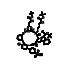 CN1C(=O)[C@H](CCCCNC(=O)OC(C)(C)C)NC(=O)[C@H](CCCNC(=O)OC(C)(C)C)NCc2ccccc2SC2=C(CNC(=O)[C@@H]1Cc1cn(C(=O)OC(C)(C)C)c3ccccc13)C(c1ccc(S(=O)(=O)O)cc1)=CCN2Cl